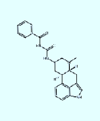 CN1CC(NC(=O)NC(=O)c2ccccc2)C[C@@H]2c3cccc4[nH]cc(c34)C[C@H]21